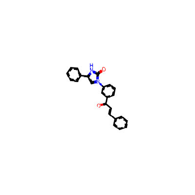 O=C(/C=C/c1ccccc1)c1cccc(-n2cc(-c3ccccc3)[nH]c2=O)c1